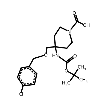 CC(C)(C)OC(=O)NC1(COCc2ccc(Cl)cc2)CCN(C(=O)O)CC1